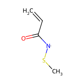 C=CC(=O)[N]SC